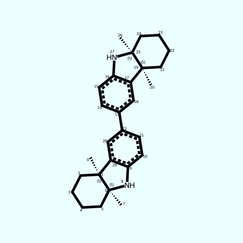 C[C@@]12CCCC[C@]1(C)Nc1ccc(-c3ccc4c(c3)[C@]3(C)CCCC[C@]3(C)N4)cc12